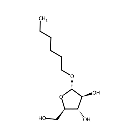 CCCCCCO[C@H]1O[C@H](CO)[C@@H](O)[C@@H]1O